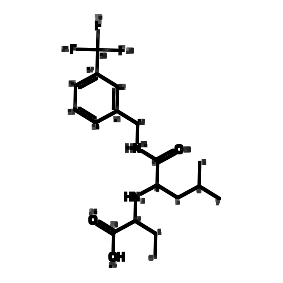 CCC(NC(CC(C)C)C(=O)NCc1cccc(C(F)(F)F)c1)C(=O)O